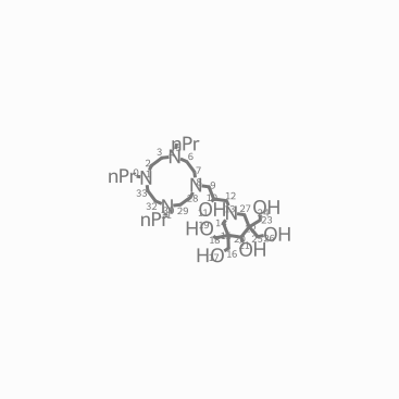 CCCN1CCN(CCC)CCN(CC(O)CN2CC(CO)(CO)C(O)C(CO)(CO)C2)CCN(CCC)CC1